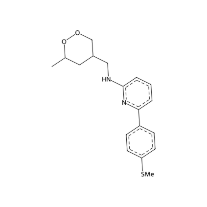 CSc1ccc(-c2cccc(NCC3COOC(C)C3)n2)cc1